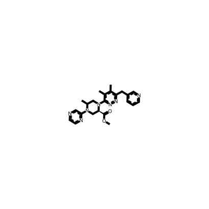 COC(=O)[C@H]1CN(c2cnccn2)C(C)CN1c1nnc(Cc2cccnc2)c(C)c1C